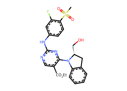 CCOC(=O)c1cnc(Nc2ccc(S(C)(=O)=O)c(F)c2)nc1N1c2ccccc2C[C@H]1CO